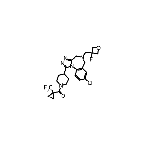 O=C(N1CCC(c2nnc3n2-c2ccc(Cl)cc2CN(CC2(F)COC2)C3)CC1)C1(C(F)(F)F)CC1